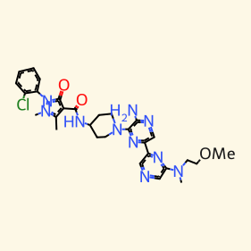 COCCN(C)c1cncc(-c2cnc(N)c(N3CCC(NC(=O)c4c(C)n(C)n(-c5ccccc5Cl)c4=O)CC3)n2)n1